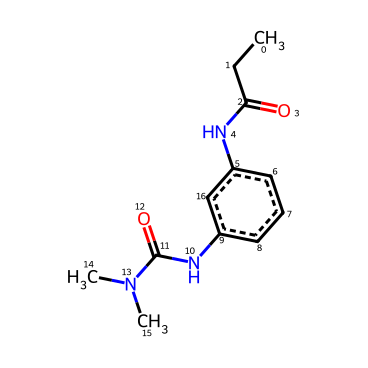 CCC(=O)Nc1cccc(NC(=O)N(C)C)c1